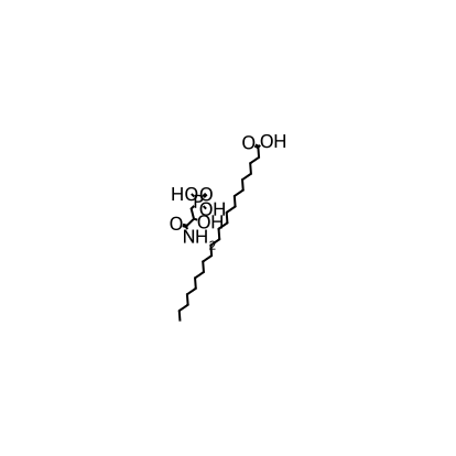 CCCCCCCCCCCCCCCCCCCCCC(=O)O.NC(=O)C(O)CP(=O)(O)O